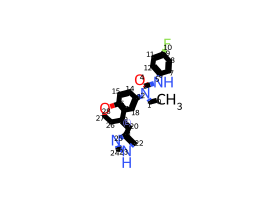 CCN(C(=O)Nc1ccc(F)cc1)c1ccc2c(c1)/C(=C/c1c[nH]cn1)CCO2